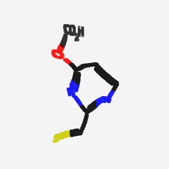 O=C(O)Oc1ccnc(C=S)n1